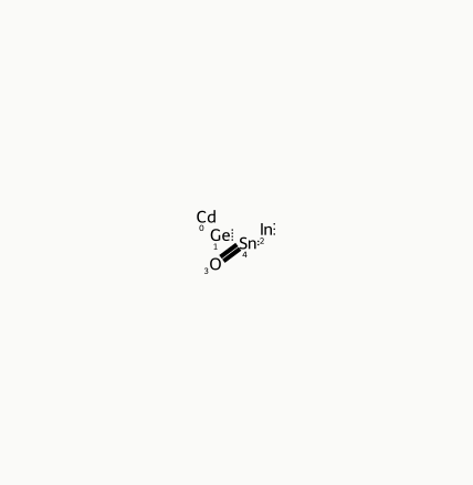 [Cd].[Ge].[In].[O]=[Sn]